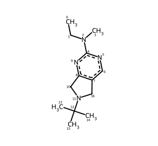 CCN(C)c1ncc2c(n1)CN(C(C)(C)C)C2